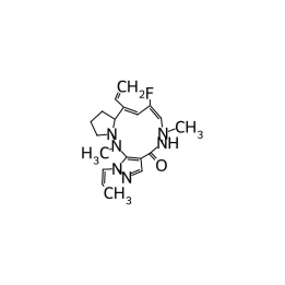 C=C/C1=C\C(F)=C/N(C)NC(=O)c2cnn(/C=C\C)c2N(C)N2CCCC12